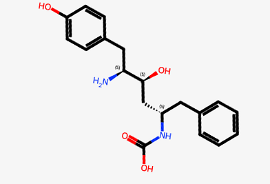 N[C@@H](Cc1ccc(O)cc1)[C@@H](O)C[C@H](Cc1ccccc1)NC(=O)O